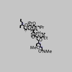 C=C/C=C(\C=C)CC[C@@H](C)N(C)C(=O)C(NC(=O)[C@H](CC(C)C)N(C)C(=O)[C@H](CC(C)C)N(C)C(=O)[C@H](CC/C(C=C)=C/C(=C/C(=O)NC)OC)NC(=O)[C@H](CC)N(C)C)C(C)C